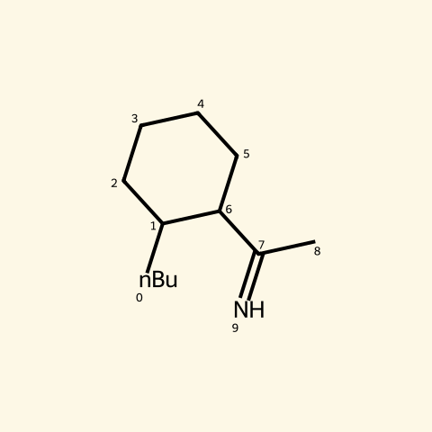 CCCCC1CCCCC1C(C)=N